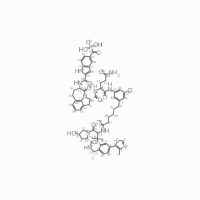 Cc1ncsc1-c1ccc([C@H](C)NC(=O)[C@@H]2C[C@@H](O)CN2C(=O)[C@@H](NC(=O)CCCCCc2cc(Cl)cc(NC(=O)[C@H](CCC(N)=O)NC(=O)[C@@H]3Cc4cccc5c4N3C(=O)[C@@H](NC(=O)c3cc4cc(C(=O)P(=O)(O)O)ccc4[nH]3)CC5)c2)C(C)(C)C)cc1